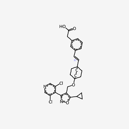 O=C(O)Cc1cccc(/C=C/C23CCC(OCc4c(-c5c(Cl)cncc5Cl)noc4C4CC4)(CC2)CC3)c1